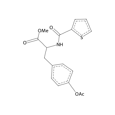 COC(=O)C(Cc1ccc(OC(C)=O)cc1)NC(=O)c1cccs1